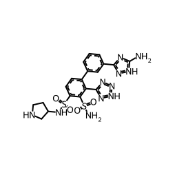 Nc1nc(-c2cccc(-c3ccc(S(=O)(=O)NC4CCNC4)c(S(N)(=O)=O)c3-c3nn[nH]n3)c2)n[nH]1